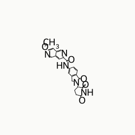 COc1cc2cnc(C(=O)Nc3ccc4c(c3)CN(C3CCC(=O)NC3=O)C4=O)cc2cn1